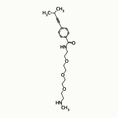 CNCCOCCOCCOCCNC(=O)c1ccc(C#CC(C)C)cc1